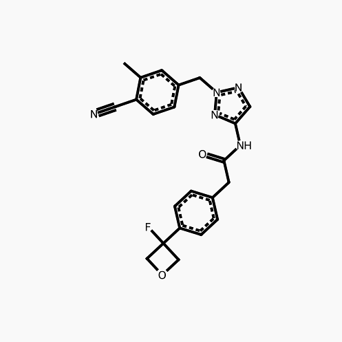 Cc1cc(Cn2ncc(NC(=O)Cc3ccc(C4(F)COC4)cc3)n2)ccc1C#N